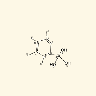 Cc1cc([Si](O)(O)O)c(C)c(C)c1C